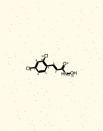 O=C(C=Cc1ccc(Cl)cc1Cl)NO